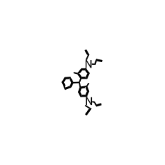 C=CCN(CC=C)c1ccc(C(c2ccccc2)c2ccc(N(CC=C)CC=C)cc2C)c(C)c1